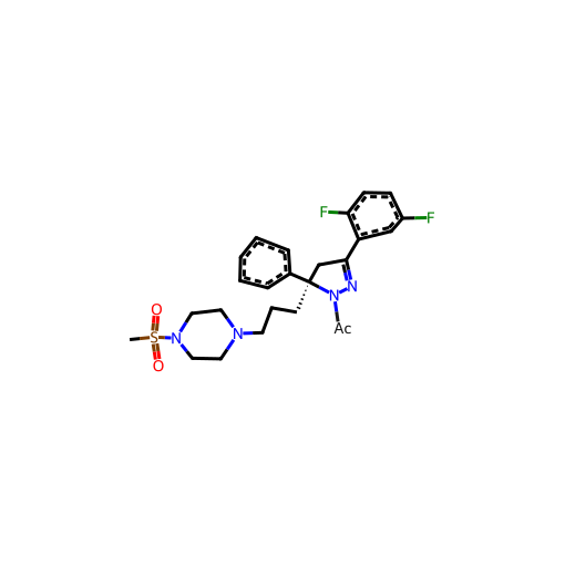 CC(=O)N1N=C(c2cc(F)ccc2F)C[C@]1(CCCN1CCN(S(C)(=O)=O)CC1)c1ccccc1